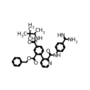 CC(NC(=O)c1ccc(-c2cccnc2C(=O)Nc2ccc(C(=N)N)cc2)c(C(=O)OCc2ccccc2)c1)C(C)(C)C